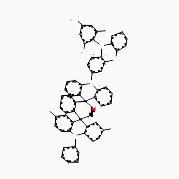 Cc1ccc2c(c1)C1(c3cc(C)ccc3N2c2ccccc2)c2ccccc2C2(c3ccccc3N(c3ccc4c(c3)Oc3ccccc3B4c3c(C(C)C)cc(C(C)C)cc3C(C)C)c3ccccc32)c2ccccc21